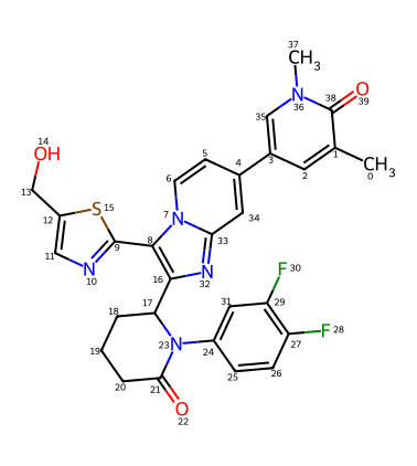 Cc1cc(-c2ccn3c(-c4ncc(CO)s4)c(C4CCCC(=O)N4c4ccc(F)c(F)c4)nc3c2)cn(C)c1=O